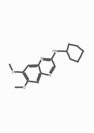 COc1cc2ncc(NC3CC[CH]CC3)nc2cc1OC